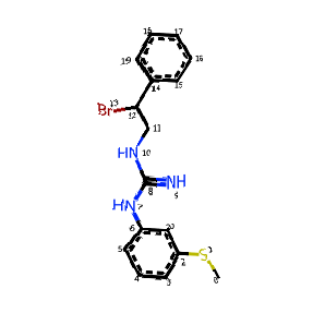 CSc1cccc(NC(=N)NCC(Br)c2ccccc2)c1